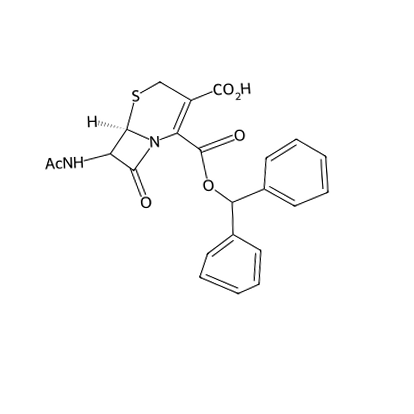 CC(=O)NC1C(=O)N2C(C(=O)OC(c3ccccc3)c3ccccc3)=C(C(=O)O)CS[C@H]12